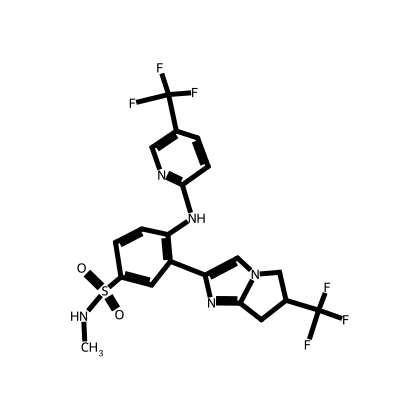 CNS(=O)(=O)c1ccc(Nc2ccc(C(F)(F)F)cn2)c(-c2cn3c(n2)CC(C(F)(F)F)C3)c1